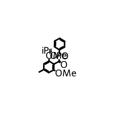 COc1cc(C)cc(OC)c1C(=O)P(=O)(OC(C)C)c1ccccc1